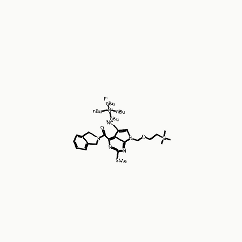 CCCC[N+](CCCC)(CCCC)CCCC.CSc1nc(C(=O)N2Cc3ccccc3C2)c2c(C#N)cn(COCC[Si](C)(C)C)c2n1.[F-]